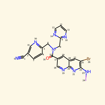 N#Cc1ccc(CN(Cc2ncccn2)C(=O)c2cnc3nc(NI)c(Br)cc3c2)nc1